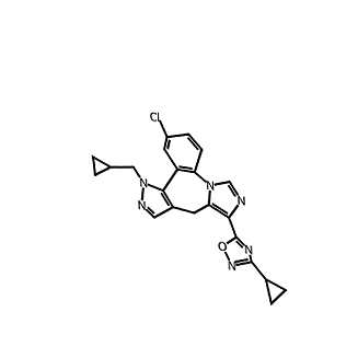 Clc1ccc2c(c1)-c1c(cnn1CC1CC1)Cc1c(-c3nc(C4CC4)no3)ncn1-2